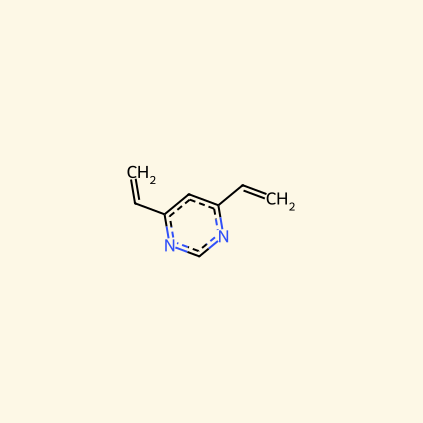 C=Cc1cc(C=C)ncn1